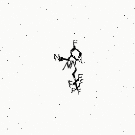 N#Cc1nn(CCC(F)(F)C(F)(F)F)c2ncc(F)cc12